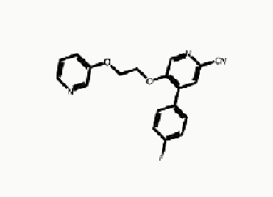 N#Cc1cc(-c2ccc(F)cc2)c(OCCOc2cccnc2)cn1